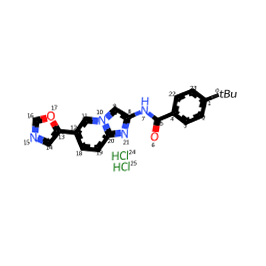 CC(C)(C)c1ccc(C(=O)Nc2cn3cc(-c4cnco4)ccc3n2)cc1.Cl.Cl